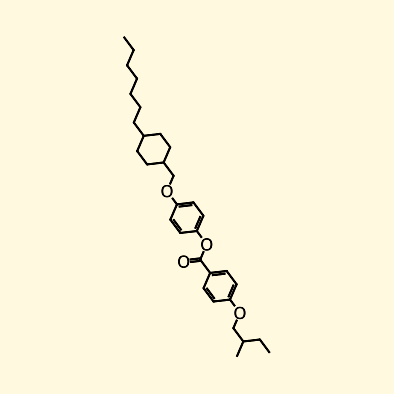 CCCCCCCC1CCC(COc2ccc(OC(=O)c3ccc(OCC(C)CC)cc3)cc2)CC1